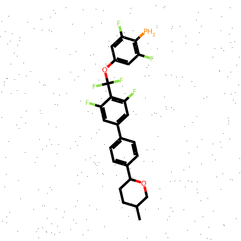 CC1CCC(c2ccc(-c3cc(F)c(C(F)(F)Oc4cc(F)c(P)c(F)c4)c(F)c3)cc2)OC1